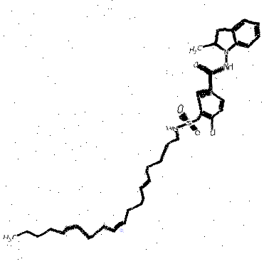 CCCCCCCC/C=C\CCCCCCCCNS(=O)(=O)c1cc(C(=O)NN2c3ccccc3CC2C)ccc1Cl